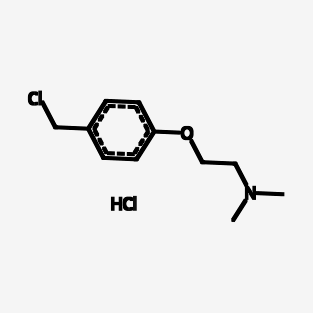 CN(C)CCOc1ccc(CCl)cc1.Cl